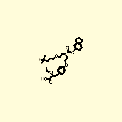 CCOC(Cc1ccc(OCCN(CCOCCCC(F)(F)F)C(=O)Oc2ccc3c(c2)CCC3)cc1)C(=O)O